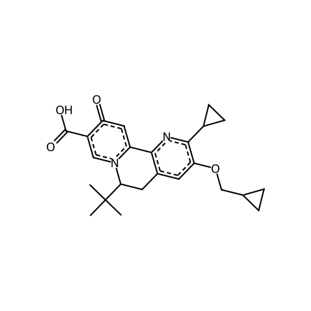 CC(C)(C)C1Cc2cc(OCC3CC3)c(C3CC3)nc2-c2cc(=O)c(C(=O)O)cn21